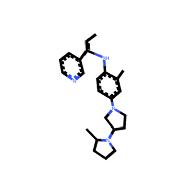 C/C=C(\Nc1ccc(N2CCC(N3CCCC3C)C2)cc1C)c1cccnc1